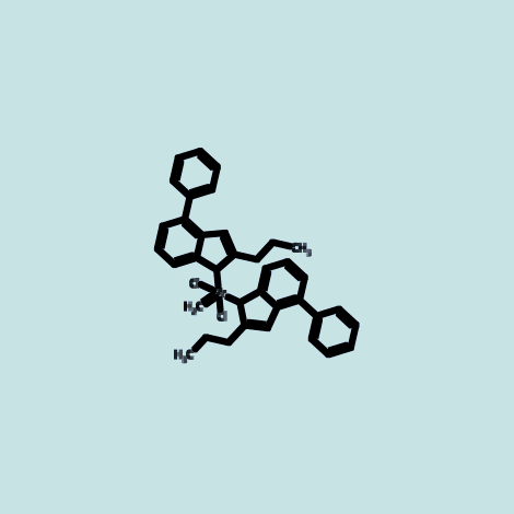 [CH2]=[Zr]([Cl])([Cl])([CH]1C(CCC)=Cc2c(-c3ccccc3)cccc21)[CH]1C(CCC)=Cc2c(-c3ccccc3)cccc21